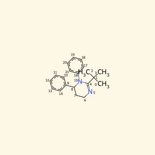 CC(C)(C)C1=NCCC(c2ccccc2)N1c1ccccc1